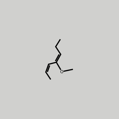 C/C=C\C(=C/CC)OC